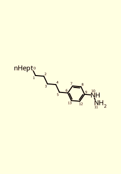 CCCCCCCCCCCCc1ccc(NN)cc1